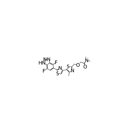 Cc1nc(COCC(=O)N(C)C)sc1-c1csc(-c2cc(F)c3[nH]nnc3c2F)n1